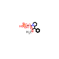 COC(=O)C(c1ccccc1)C1CCCCN1C(=O)OCOP(=O)(O)O